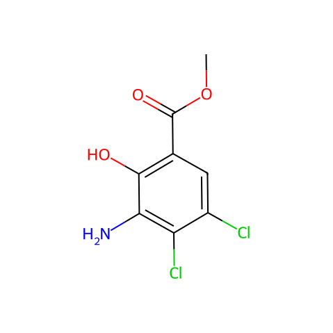 COC(=O)c1cc(Cl)c(Cl)c(N)c1O